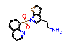 NCCc1cn(S(=O)(=O)c2cccc3cccnc23)c2sccc12